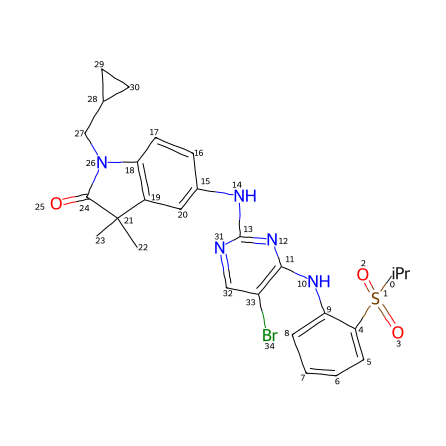 CC(C)S(=O)(=O)c1ccccc1Nc1nc(Nc2ccc3c(c2)C(C)(C)C(=O)N3CC2CC2)ncc1Br